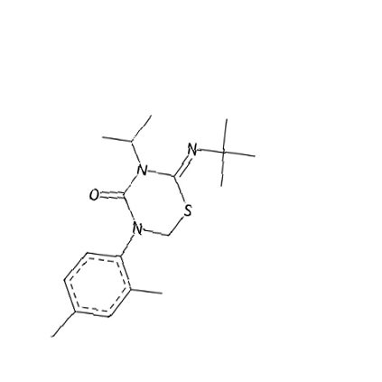 Cc1ccc(N2CSC(=NC(C)(C)C)N(C(C)C)C2=O)c(C)c1